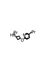 CC(C)N[C@H]1C[C@H](Oc2ccc(C(C)C)cn2)C1